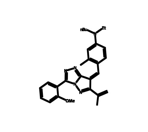 C=C(C)c1nn2c(-c3ccccc3OC)nnc2/c1=C\c1ccc(N(CC)CCCC)cc1C